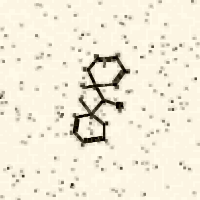 CCC(C1(C)C=CC=CC1)C1(C)C=CC=CC1